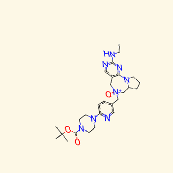 CCNc1ncc2c(n1)N1CCCC1C[N+]([O-])(Cc1ccc(N3CCN(C(=O)OC(C)(C)C)CC3)nc1)C2